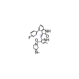 Cc1cc(C(=O)N2CC[C@@H](N(C)C)C2)c(/C=C2\C(=O)Nc3cccc(-c4ccc(F)cc4)c32)[nH]1